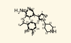 CC(Sc1cc(-c2cnn(C3CCNCC3)c2)cnc1N)c1cccc(F)c1F